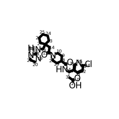 O=C(O)C[C@H](NC(=O)C1CCN(C(=O)CC2(CNC3=NCCN3)CCCCC2)CC1)c1ccc(Cl)nc1